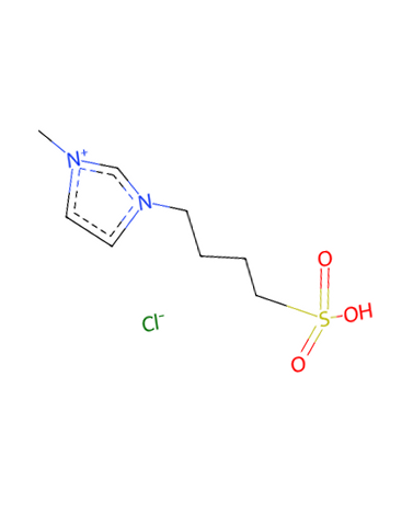 C[n+]1ccn(CCCCS(=O)(=O)O)c1.[Cl-]